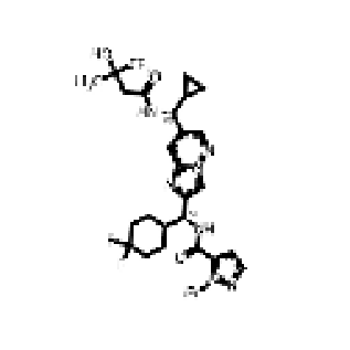 CC(C)n1nccc1C(=O)N[C@H](c1cn2ncc([C@H](NC(=O)CC(C)(O)C(F)(F)F)C3CC3)cc2n1)C1CCC(F)(F)CC1